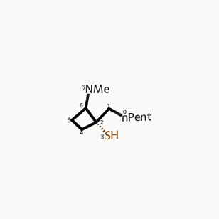 CCCCCC[C@@]1(S)CCC1NC